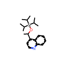 CC(O[Si](C(C)C)(C(C)C)C(C)C)c1ccnc2ccccc12